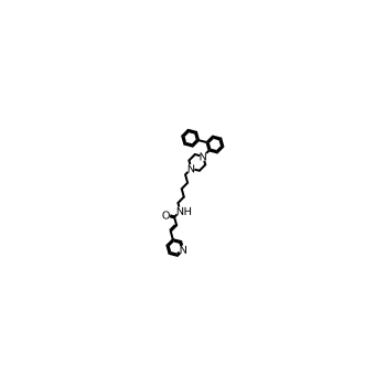 O=C(C=Cc1cccnc1)NCCCCCN1CCN(c2ccccc2-c2ccccc2)CC1